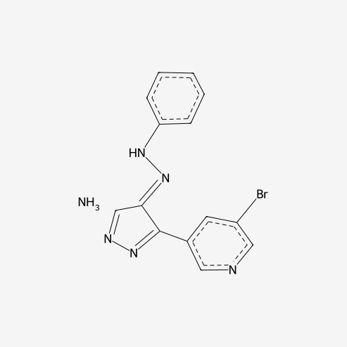 Brc1cncc(C2=NN=CC2=NNc2ccccc2)c1.N